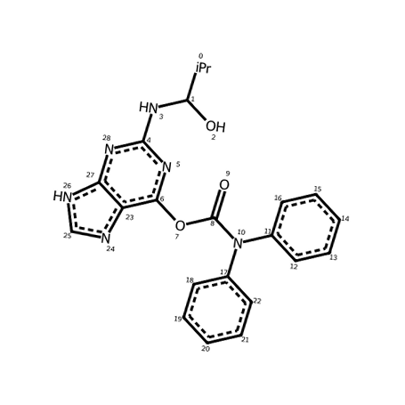 CC(C)C(O)Nc1nc(OC(=O)N(c2ccccc2)c2ccccc2)c2nc[nH]c2n1